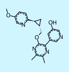 COc1ccc([C@H]2C[C@@H]2COc2nc(C)c(C)nc2-c2cncc(O)c2)nc1